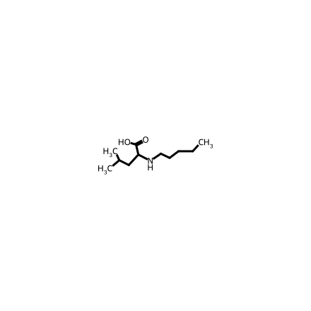 CCCCCNC(CC(C)C)C(=O)O